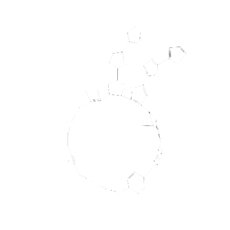 C/C1=C(\C)C2CC(C3CCC(C4CCCS4)S3)SC2c2sc(-c3ccc(-c4cccs4)s3)cc2C2CCC(CC2C)/N=N/C2C=CC(CC2)OCCCC/C=C/CCCCO1